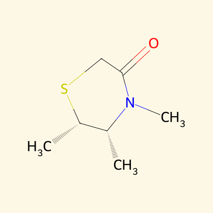 C[C@@H]1SCC(=O)N(C)[C@@H]1C